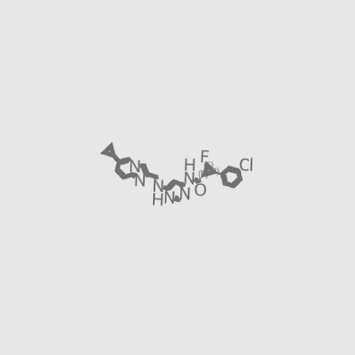 O=C(Nc1cc(NCc2cn3cc(C4CC4)ccc3n2)ncn1)[C@@H]1[C@@H](F)[C@H]1c1cccc(Cl)c1